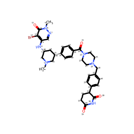 CN1C[C@H](Nc2cnn(C)c(=O)c2Br)C[C@H](c2ccc(C(=O)N3CCN(Cc4ccc(C5CCC(=O)NC5=O)cc4)CC3)cc2)C1